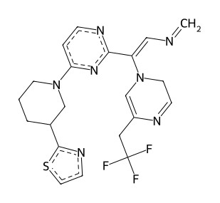 C=N/C=C(/c1nccc(N2CCCC(c3nccs3)C2)n1)N1C=C(CC(F)(F)F)N=CC1